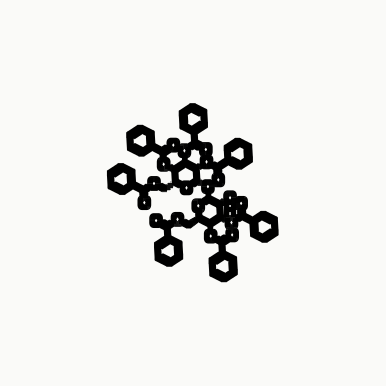 O=C(OC[C@H]1O[C@@H](O[C@H]2O[C@H](COC(=O)c3ccccc3)[C@@H](OC(=O)c3ccccc3)[C@H](OC(=O)c3ccccc3)[C@@H]2O)[C@@H](OC(=O)c2ccccc2)[C@@H](OC(=O)c2ccccc2)[C@@H]1OC(=O)c1ccccc1)c1ccccc1